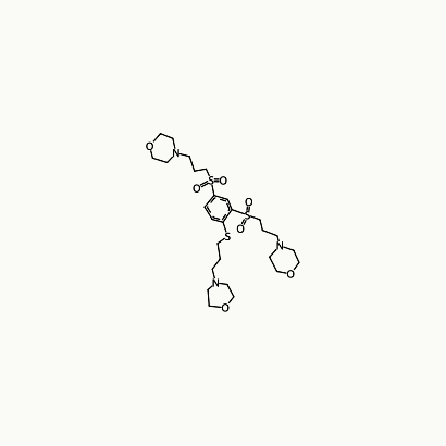 O=S(=O)(CCCN1CCOCC1)c1ccc(SCCCN2CCOCC2)c(S(=O)(=O)CCCN2CCOCC2)c1